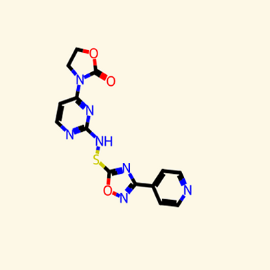 O=C1OCCN1c1ccnc(NSc2nc(-c3ccncc3)no2)n1